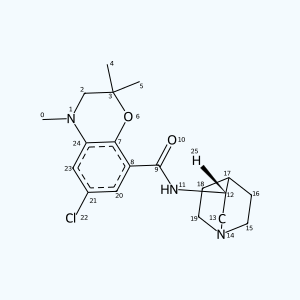 CN1CC(C)(C)Oc2c(C(=O)N[C@H]3CN4CCC3CC4)cc(Cl)cc21